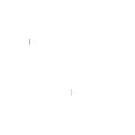 [C]#CC(CC)c1ccc(CC)cc1